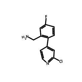 NCc1cc(F)ccc1-c1ccnc(Cl)c1